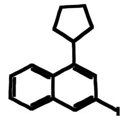 Ic1cc(C2CCCC2)c2ccccc2c1